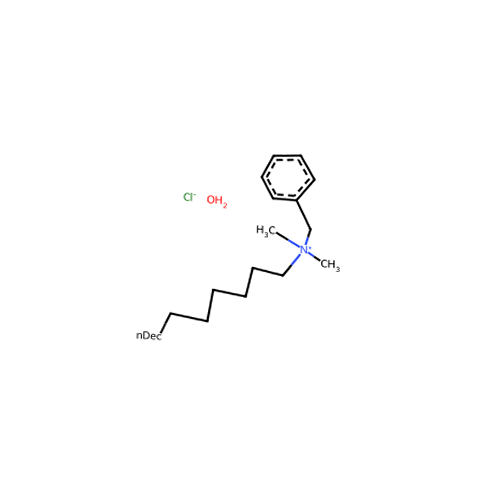 CCCCCCCCCCCCCCCC[N+](C)(C)Cc1ccccc1.O.[Cl-]